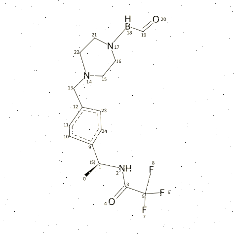 C[C@H](NC(=O)C(F)(F)F)c1ccc(CN2CCN(BC=O)CC2)cc1